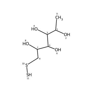 CC(O)C(O)C(O)C(O)CSS